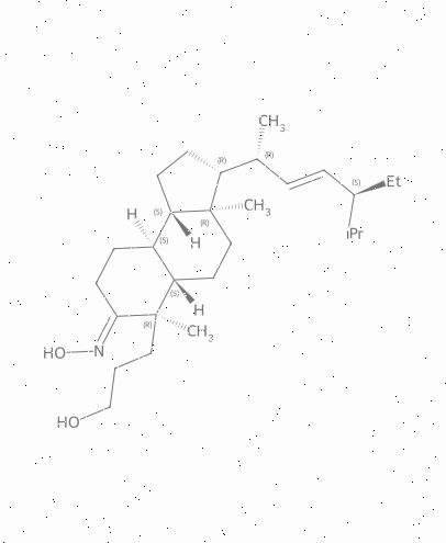 CC[C@H](C=C[C@@H](C)[C@H]1CC[C@H]2[C@@H]3CCC(=NO)[C@](C)(CCCO)[C@H]3CC[C@]12C)C(C)C